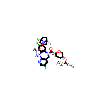 CO[C@@H]1C[C@H]2CC[C@@H](C1)N2c1cc2c(cc1F)Nc1ncc(F)cc1CN2C(=O)[C@H]1CC[C@H](OC(C)C)CO1